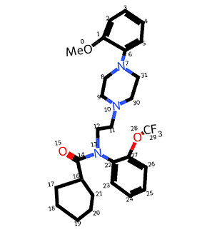 COc1ccccc1N1CCN(CCN(C(=O)C2CCCCC2)c2ccccc2OC(F)(F)F)CC1